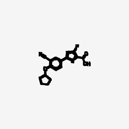 N#Cc1cc(-c2cc(F)c(C(=O)O)s2)ccc1OC1CCCC1